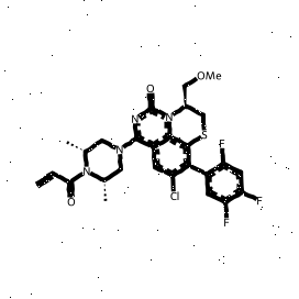 C=CC(=O)N1[C@H](C)CN(c2nc(=O)n3c4c(c(-c5cc(F)c(F)cc5F)c(Cl)cc24)SC[C@@H]3COC)C[C@@H]1C